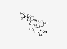 O=P(O)(O)OP(=O)(O)O.OCC(CO)(CO)CO.OCCO